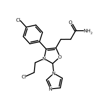 NC(=O)CCC1=C(c2ccc(Cl)cc2)N(CCCl)C(n2ccnc2)O1